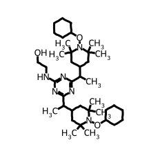 CC(c1nc(NCCO)nc(C(C)C2CC(C)(C)N(OC3CCCCC3)C(C)(C)C2)n1)C1CC(C)(C)N(OC2CCCCC2)C(C)(C)C1